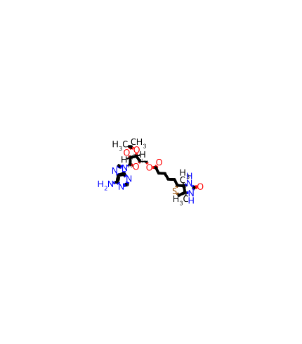 CC1(C)O[C@@H]2[C@H](O1)[C@@H](COC(=O)CCCCC1SC[C@]3(C)NC(=O)N[C@]13C)O[C@H]2n1cnc2c(N)ncnc21